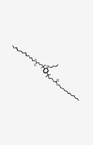 CCCCCCCCCCCCOC(=O)CCCC(C)(C)c1[c]cc(C(C)(C)CCCC(=O)OCCCCCCCCCCCC)c(OCCCC)c1